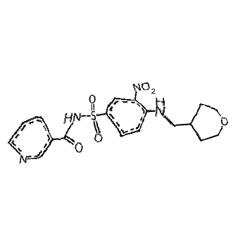 O=C(NS(=O)(=O)c1ccc(NCC2CCOCC2)c([N+](=O)[O-])c1)c1cccnc1